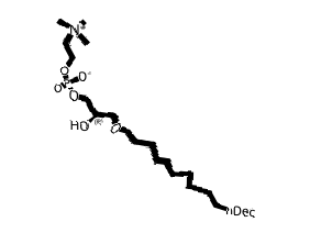 CCCCCCCCCCCCCCCCCCCCOC[C@@H](O)COP(=O)([O-])OCC[N+](C)(C)C